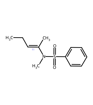 CC/C=C(\C)N(C)S(=O)(=O)c1ccccc1